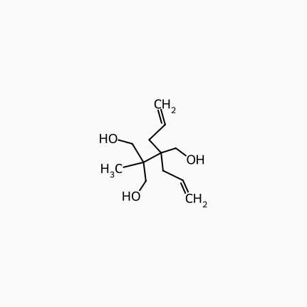 C=CCC(CO)(CC=C)C(C)(CO)CO